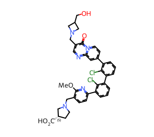 COc1nc(-c2cccc(-c3cccc(-c4ccn5c(=O)c(CN6CC(CO)C6)cnc5c4)c3Cl)c2Cl)ccc1CN1CC[C@H](C(=O)O)C1